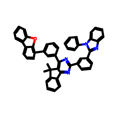 CC1(C)c2ccccc2-c2nc(-c3cccc(-c4nc5ccccc5n4-c4ccccc4)c3)nc(-c3cccc(-c4cccc5c4oc4ccccc45)c3)c21